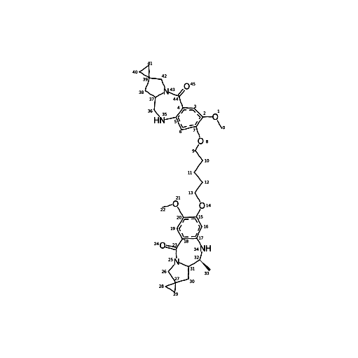 COc1cc2c(cc1OCCCCCOc1cc3c(cc1OC)C(=O)N1CC4(CC4)CC1[C@H](C)N3)NCC1CC3(CC3)CN1C2=O